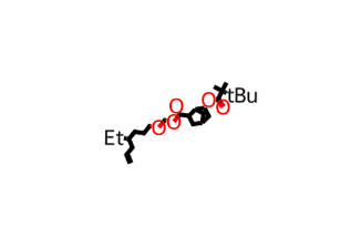 C=CCC(CC)CCCOCOC(=O)C1CC2CC(OC(=O)C(C)(C)C(C)(C)C)C1C2